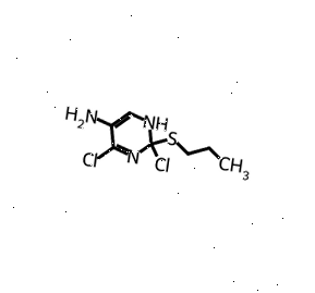 CCCSC1(Cl)N=C(Cl)C(N)=CN1